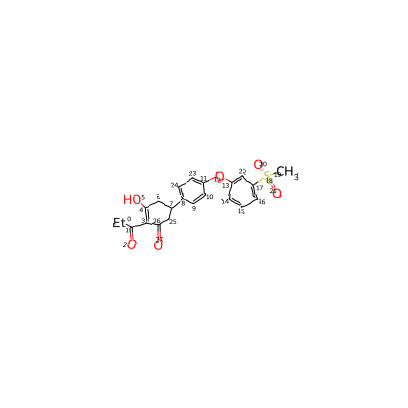 CCC(=O)C1=C(O)CC(c2ccc(Oc3cccc(S(C)(=O)=O)c3)cc2)CC1=O